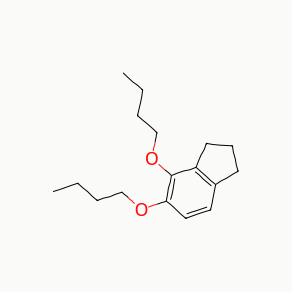 CCCCOc1ccc2c(c1OCCCC)CCC2